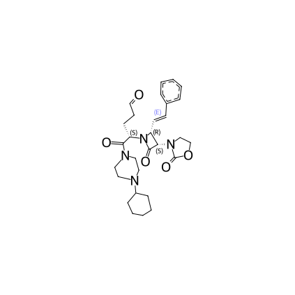 O=CCC[C@@H](C(=O)N1CCN(C2CCCCC2)CC1)N1C(=O)[C@@H](N2CCOC2=O)[C@H]1/C=C/c1ccccc1